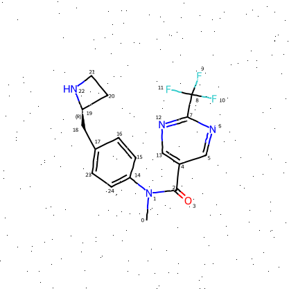 CN(C(=O)c1cnc(C(F)(F)F)nc1)c1ccc(C[C@@H]2CCN2)cc1